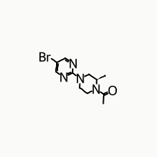 CC(=O)N1CCN(c2ncc(Br)cn2)C[C@H]1C